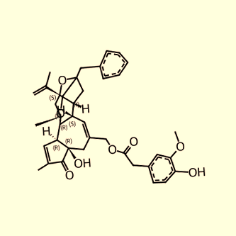 C=C(C)[C@]12C[C@@H](C)[C@@]34OCC(Cc5ccccc5)(C[C@@H]1[C@@H]3C=C(COC(=O)Cc1ccc(O)c(OC)c1)C[C@]1(O)C(=O)C(C)=C[C@@H]41)O2